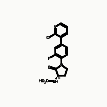 O=C(O)N[C@H]1CCN(c2ccc(-c3cccnc3Cl)cc2F)C1=O